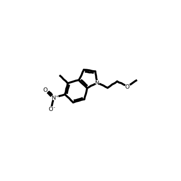 COCCn1ccc2c(C)c([N+](=O)[O-])ccc21